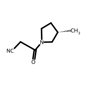 C[C@H]1CCN(C(=O)CC#N)C1